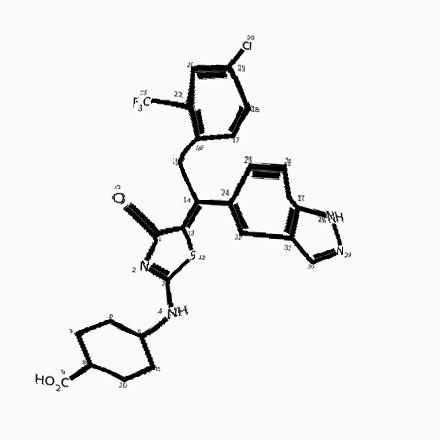 O=C1N=C(NC2CCC(C(=O)O)CC2)SC1=C(Cc1ccc(Cl)cc1C(F)(F)F)c1ccc2[nH]ncc2c1